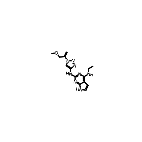 C=C(COC)n1cc(Nc2nc(NCC)c3cc[nH]c3n2)nn1